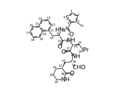 Cc1ccsc1C(=O)NC(Cc1cccc2ccccc12)C(=O)N[C@@H](CC(C)C)C(=O)N[C@H](C=O)C[C@@H]1CCCNC1=O